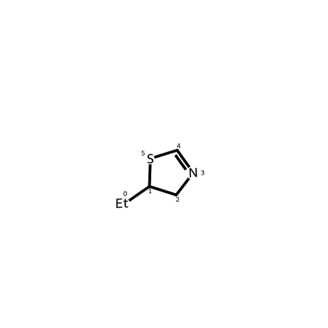 CCC1CN=CS1